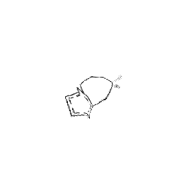 C[C@@H]1Cc2nccn2C1